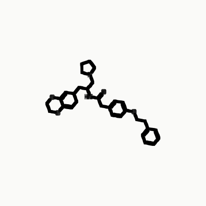 O=C(Cc1ccc(OCCc2ccccc2)cc1)NC(CC1C=C2OCCOC2=CC1)CN1CCCC1